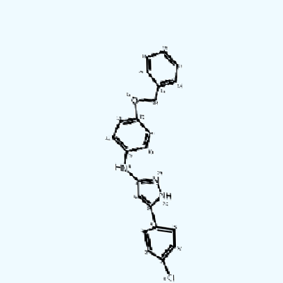 Clc1ccc(-c2cc(Nc3ccc(OCc4ccccc4)cc3)n[nH]2)cc1